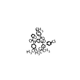 CC1CCC(N(C(=O)[C@H]2CCCO2)[C@H]2C[C@@H](C(=O)N3CCN(C)CC3)N(C(=O)[C@@H]3CN(C(C)(C)C)C[C@H]3c3ccc(Cl)cc3)C2)CC1